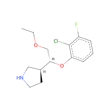 CCOC[C@H](Oc1cccc(F)c1Cl)[C@H]1CCNC1